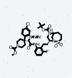 COC(=O)N1CCC(c2ccc(Cl)cc2)([C@H](N=[N+]=[N-])C(=O)Nc2cccc(F)c2CC[C@H]2CN(C(=O)OC(C)(C)C)[C@@H]3CCCS(=O)(=O)N2C3)CC1